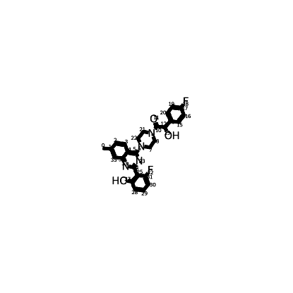 Cc1ccc2c(N3CCN(C(=O)C(O)c4ccc(F)cc4)CC3)nc(-c3c(O)cccc3F)nc2c1